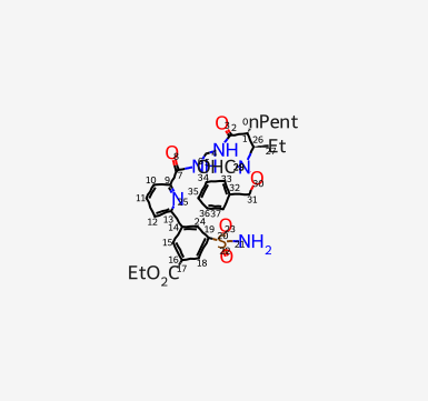 CCCCC[C@@H](C(=O)NCNC(=O)c1cccc(-c2cc(C(=O)OCC)cc(S(N)(=O)=O)c2)n1)[C@@H](CC)N(C=O)OCc1ccccc1